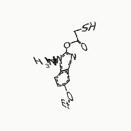 CCOc1ccc2[nH]c(OC(=O)CS)nc2c1.N